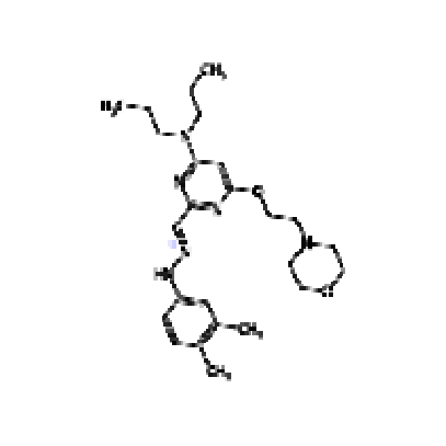 CCCN(CCC)c1cc(OCCN2CCOCC2)nc(/C=N/Nc2ccc(C)c(C)c2)n1